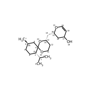 CC(C)[C@@H]1CC[C@@H](C)CC12OCC[C@@H](C[C@H]1CC(O)C=CO1)O2